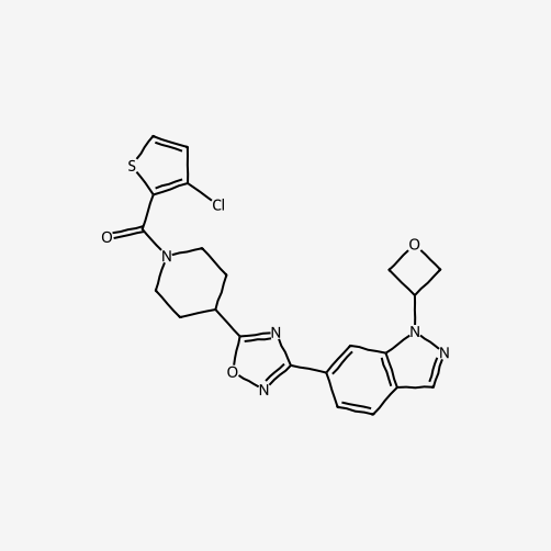 O=C(c1sccc1Cl)N1CCC(c2nc(-c3ccc4cnn(C5COC5)c4c3)no2)CC1